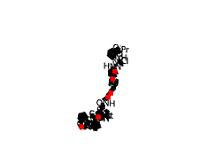 CCOC(=O)CC(c1ccc(C)c(CN2CC(C)Oc3ccccc3S2(=O)=O)c1)c1cc(OCC(=O)NCCCCCCN2CCN(c3ccc(Nc4ncc(Cl)c(Nc5ccccc5S(=O)(=O)C(C)C)n4)cc3)CC2)c2c(c1)nnn2C